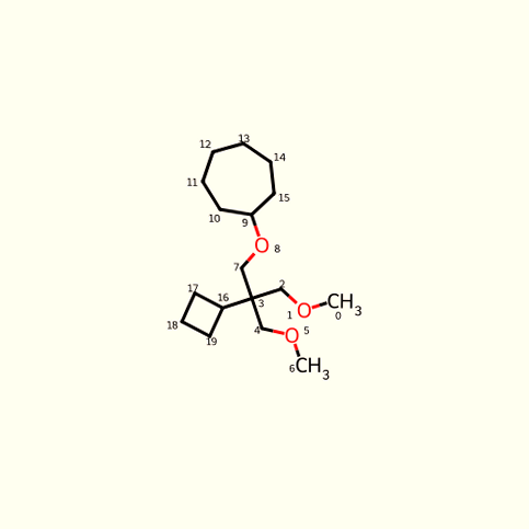 COCC(COC)(COC1CCCCCC1)C1CCC1